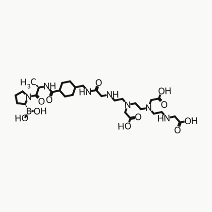 C[C@@H](NC(=O)C1CCC(CNC(=O)CNCCN(CCN(CCNCC(=O)O)CC(=O)O)CC(=O)O)CC1)C(=O)N1CCC[C@H]1B(O)O